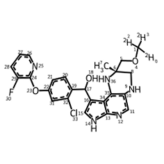 [2H]C([2H])([2H])OC[C@]1(C)CNc2cnc3[nH]cc(C(O)c4ccc(Oc5ncccc5F)cc4Cl)c3c2N1